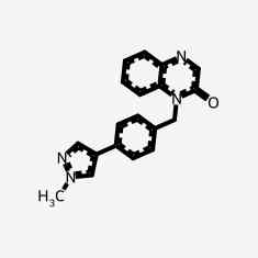 Cn1cc(-c2ccc(Cn3c(=O)cnc4ccccc43)cc2)cn1